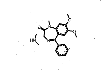 CNC.COc1cc2c(cc1OC)N(C)C(=O)CN=C2c1ccccc1